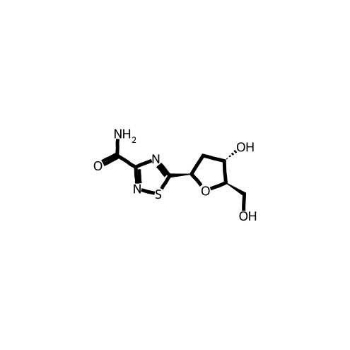 NC(=O)c1nsc([C@H]2C[C@H](O)[C@@H](CO)O2)n1